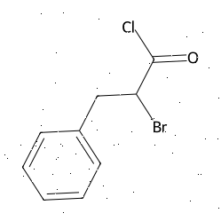 O=C(Cl)C(Br)Cc1ccccc1